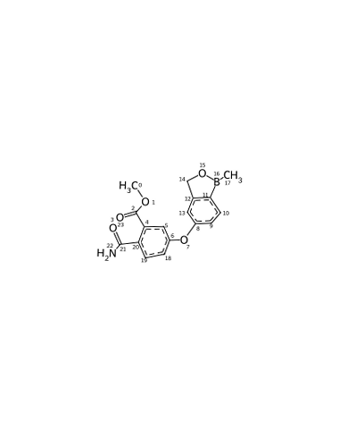 COC(=O)c1cc(Oc2ccc3c(c2)COB3C)ccc1C(N)=O